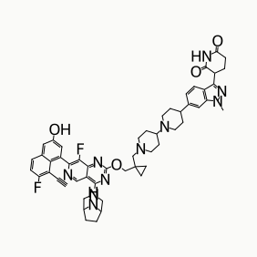 C#Cc1c(F)ccc2cc(O)cc(-c3ncc4c(N5CC6CCC(C5)N6)nc(OCC5(CN6CCC(N7CCC(c8ccc9c(C%10CCC(=O)NC%10=O)nn(C)c9c8)CC7)CC6)CC5)nc4c3F)c12